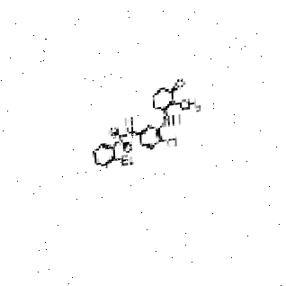 CCc1ccccc1S(=O)(=O)Nc1ccc(Cl)c(NC2=C(C)C(=O)CCC2)c1